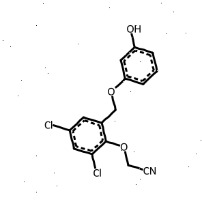 N#CCOc1c(Cl)cc(Cl)cc1COc1cccc(O)c1